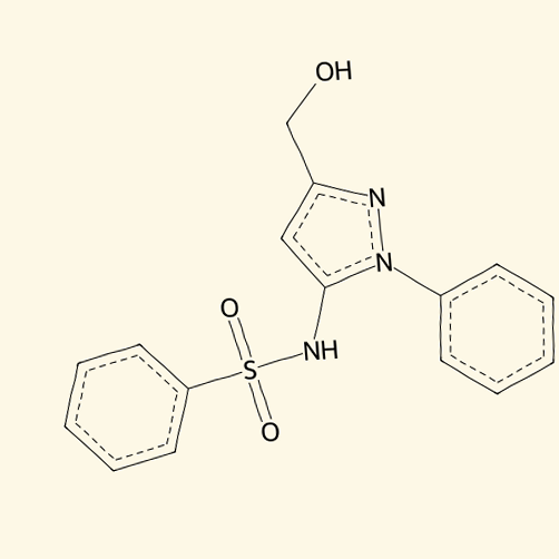 O=S(=O)(Nc1cc(CO)nn1-c1ccccc1)c1ccccc1